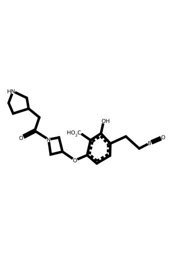 O=BCCc1ccc(OC2CN(C(=O)CC3CCNC3)C2)c(C(=O)O)c1O